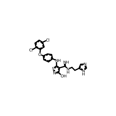 N=C(NCCc1cnc[nH]1)c1c(O)nsc1Nc1ccc(Oc2cc(Cl)ccc2Cl)cc1